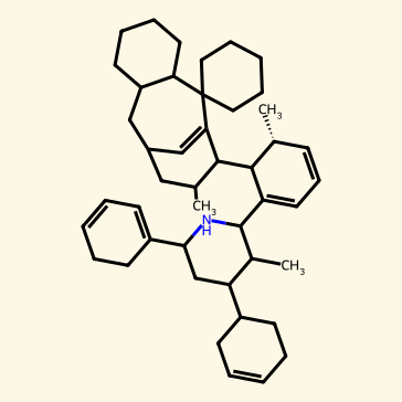 CC1CC2C=C(C1C1C(C3NC(C4=CC=CCC4)CC(C4CC=CCC4)C3C)=CC=C[C@H]1C)C1(CCCCC1)C1CCCCC1C2